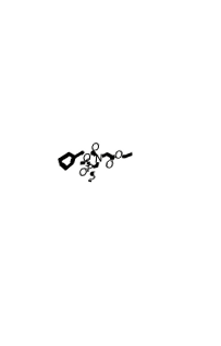 CCOC(=O)CN(CP(=O)(SC)SC)C(=O)OCc1ccccc1